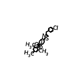 Cc1cc(C)c(S(=O)(=O)N2CCN(c3nc(Cc4ccc(Cl)cc4)cs3)CC2)c(C)c1